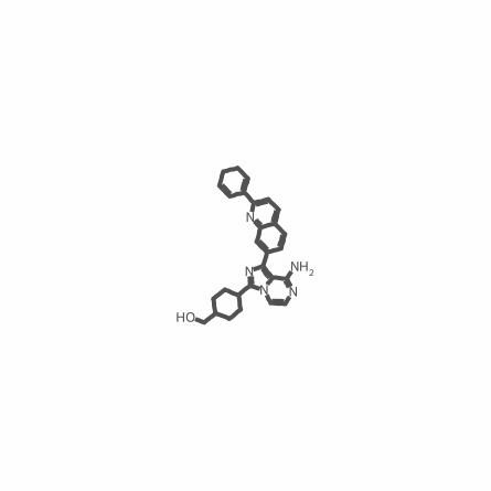 Nc1nccn2c(C3CCC(CO)CC3)nc(-c3ccc4ccc(C5=CCCC=C5)nc4c3)c12